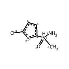 C[SH](N)(=O)c1ccc(Cl)s1